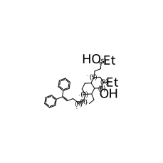 CC[C@H](O)CC[C@@]1(C)C[C@@H](CC)[C@@H](O)C2C1CC[C@@]1(C)C2CC[C@@H]1[C@H](C)CC=C(c1ccccc1)c1ccccc1